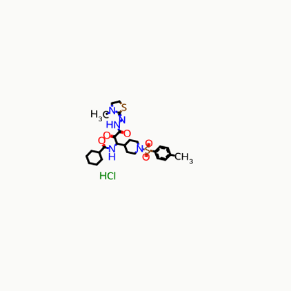 Cc1ccc(S(=O)(=O)N2CCC(C(NC(=O)C3CCCCC3)C(=O)C(=O)NN=C3SCCN3C)CC2)cc1.Cl